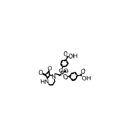 O=C(O)c1ccc(OP(=O)(CCN2CCCNc3c2c(=O)c3=O)Oc2ccc(C(=O)O)cc2)cc1